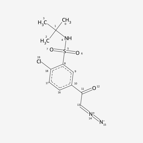 CC(C)(C)NS(=O)(=O)c1cc(C(=O)C=[N+]=[N-])ccc1Cl